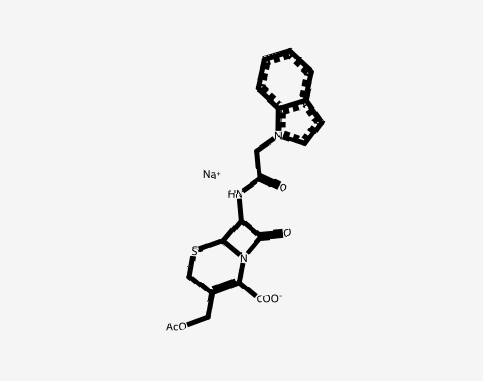 CC(=O)OCC1=C(C(=O)[O-])N2C(=O)C(NC(=O)Cn3ccc4ccccc43)C2SC1.[Na+]